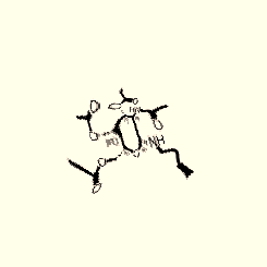 C#CCCN[C@@H]1O[C@H](COC(C)=O)[C@H](OC(C)=O)[C@H](OC(C)=O)[C@H]1NC(C)=O